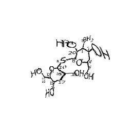 BC1C(O)C(CO)OC(SC2OC(CO)C(O)CC2O)C1O